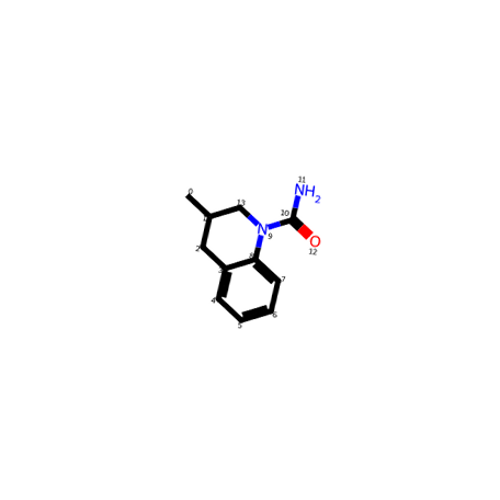 CC1Cc2ccccc2N(C(N)=O)C1